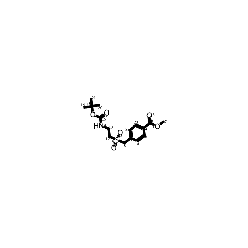 COC(=O)c1ccc(CS(=O)(=O)CCNC(=O)OC(C)(C)C)cc1